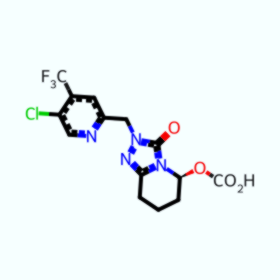 O=C(O)O[C@H]1CCCc2nn(Cc3cc(C(F)(F)F)c(Cl)cn3)c(=O)n21